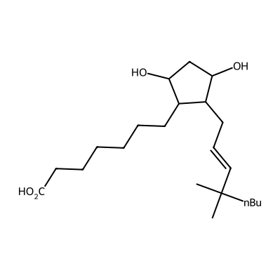 CCCCC(C)(C)C=CCC1C(O)CC(O)C1CCCCCCC(=O)O